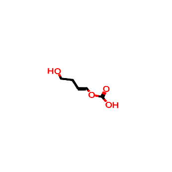 O=C(O)OC=CCCO